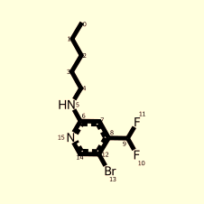 CCCCCNc1cc(C(F)F)c(Br)cn1